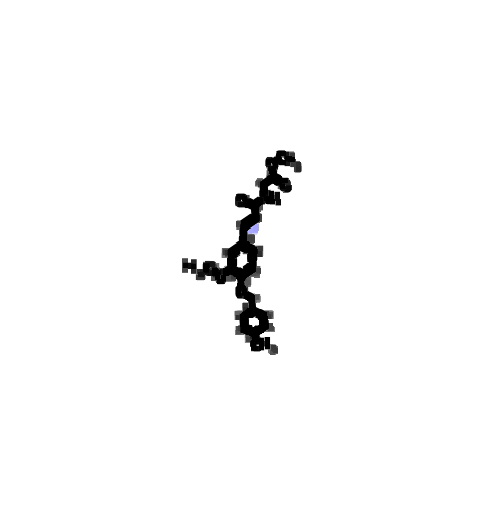 COC(=O)CNC(=O)/C=C/c1ccc(OCc2ccc(C)cc2)c(OC)c1